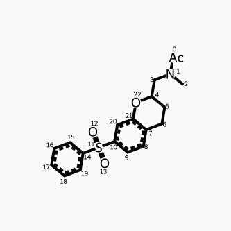 CC(=O)N(C)CC1CCc2ccc(S(=O)(=O)c3ccccc3)cc2O1